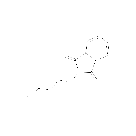 O=C1C2C=CC=CC2C(=O)N1CCCCBr